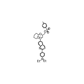 CCN(CC)c1ccc(-c2ccc3cc(OCC(COS(=O)(=O)c4ccc(C)cc4)OC4CCCCO4)ccc3n2)cc1